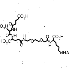 CC(=O)NCCCCC(NC(=O)COCCOCCNC(=O)CCC(NC(=O)C(CS(=O)(=O)O)NC(=O)CCCC(=O)O)C(=O)O)C(=O)O